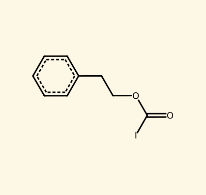 O=C(I)OCCc1ccccc1